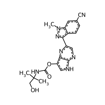 Cn1nc(-c2cnc3[nH]cc(OC(=O)NC(C)(C)CO)c3n2)c2ccc(C#N)cc21